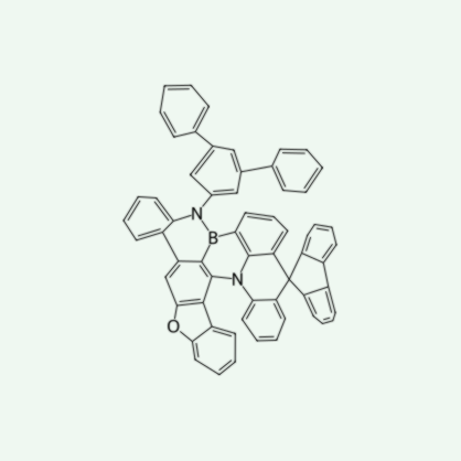 c1ccc(-c2cc(-c3ccccc3)cc(N3B4c5cccc6c5N(c5ccccc5C65c6ccccc6-c6ccccc65)c5c4c(cc4oc6ccccc6c54)-c4ccccc43)c2)cc1